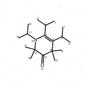 CC(C)C1=C(C(C)C)C(C)(C)C(=O)C(C)(C)N1C(C)C